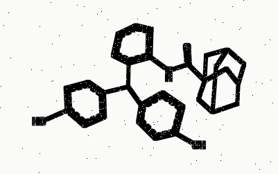 O=C(Nc1ccccc1C(c1ccc(O)cc1)c1ccc(O)cc1)C12CC3CC(CC(C3)C1)C2